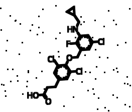 O=C(O)CCc1cc(Cl)c(OCc2cc(Cl)cc(NCC3CC3)c2F)c(Cl)c1